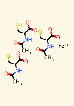 CC(=O)N[C@@H](CS)C(=O)[O-].CC(=O)N[C@@H](CS)C(=O)[O-].CC(=O)N[C@@H](CS)C(=O)[O-].[Fe+3]